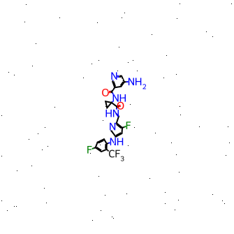 Nc1cncc(C(=O)NC2(C(=O)NCc3ncc(Nc4ccc(F)cc4C(F)(F)F)cc3F)CC2)c1